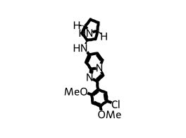 COc1cc(OC)c(-c2cn3ccc(N[C@H]4C[C@H]5CC[C@@H](C4)N5)cc3n2)cc1Cl